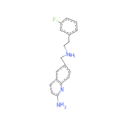 Nc1ccc2cc(CNCCc3cccc(F)c3)ccc2n1